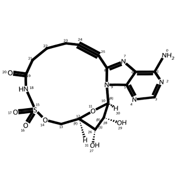 Nc1ncnc2c1nc1n2[C@@H]2O[C@H](COS(=O)(=O)NC(=O)CCCC#C1)[C@@H](O)[C@H]2O